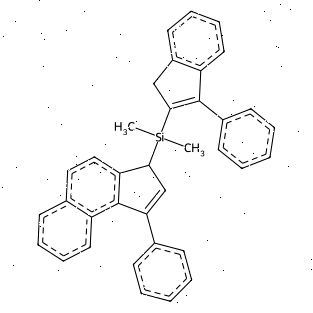 C[Si](C)(C1=C(c2ccccc2)c2ccccc2C1)C1C=C(c2ccccc2)c2c1ccc1ccccc21